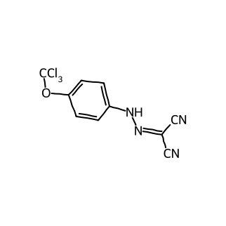 N#CC(C#N)=NNc1ccc(OC(Cl)(Cl)Cl)cc1